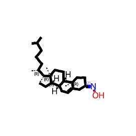 CC(C)CCC[C@@H](C)[C@H]1CC[C@H]2[C@@H]3CC=C4C/C(=N\O)CC[C@]4(C)[C@H]3CC[C@]12C